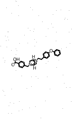 O=C(O)c1ccc(CN2C[C@@H]3C[C@H]2CN3CCc2ccc(Oc3ccccc3)cc2)cc1